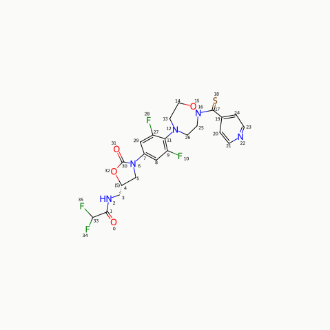 O=C(NC[C@H]1CN(c2cc(F)c(N3CCON(C(=S)c4ccncc4)CC3)c(F)c2)C(=O)O1)C(F)F